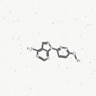 CC(C)Oc1ccc(-n2ncc3c(N)ncnc32)nn1